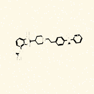 NC(=O)Oc1cccc2[nH]c(C3CCN(CCc4ccc(S(=O)(=O)c5ccccc5)cc4)CC3)nc12